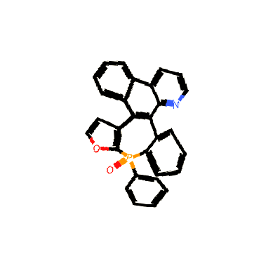 O=P1(c2ccccc2)c2ccccc2-c2c(c3ccccc3c3cccnc23)-c2ccoc21